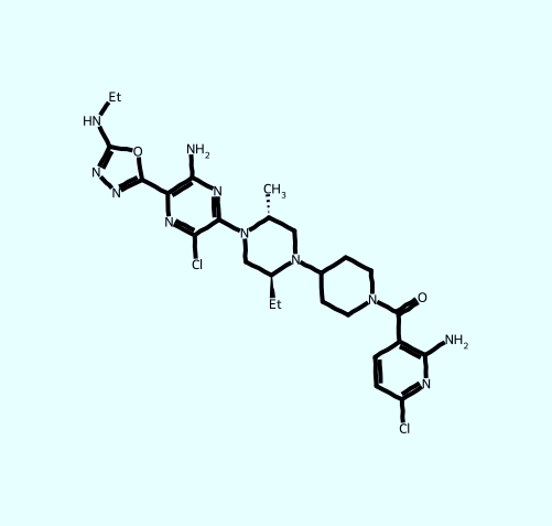 CCNc1nnc(-c2nc(Cl)c(N3C[C@H](CC)N(C4CCN(C(=O)c5ccc(Cl)nc5N)CC4)C[C@H]3C)nc2N)o1